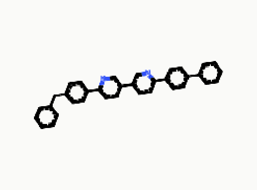 c1ccc(Cc2ccc(-c3ccc(-c4ccc(-c5ccc(-c6ccccc6)cc5)nc4)cn3)cc2)cc1